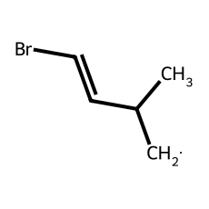 [CH2]C(C)C=CBr